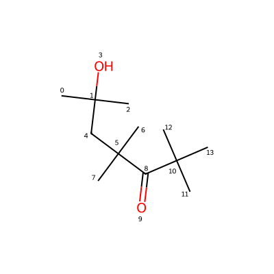 CC(C)(O)CC(C)(C)C(=O)C(C)(C)C